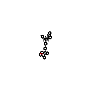 c1ccc(-c2nc(-c3ccc(-c4ccc(-c5c6ccccc6c(-c6ccccc6-c6ccccc6)c6ccccc56)cc4)cc3)nc(-c3cccc4c3sc3ccccc34)n2)cc1